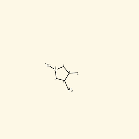 CC1C[S+]([O-])CC1N